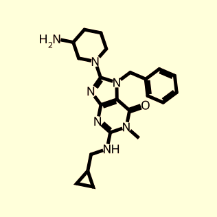 Cn1c(NCC2CC2)nc2nc(N3CCCC(N)C3)n(Cc3ccccc3)c2c1=O